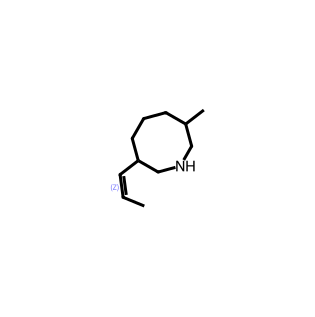 C/C=C\C1CCCC(C)CNC1